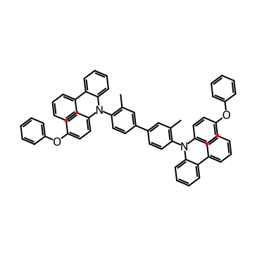 Cc1cc(-c2ccc(N(c3ccc(Oc4ccccc4)cc3)c3ccccc3-c3ccccc3)c(C)c2)ccc1N(c1ccc(Oc2ccccc2)cc1)c1ccccc1-c1ccccc1